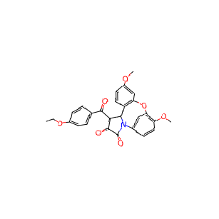 CCOc1ccc(C(=O)C2C(=O)C(=O)N3c4ccc(OC)c(c4)Oc4cc(OC)ccc4C23)cc1